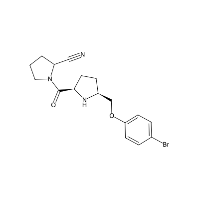 N#CC1CCCN1C(=O)[C@H]1CC[C@@H](COc2ccc(Br)cc2)N1